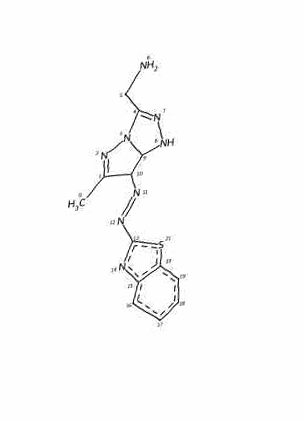 CC1=NN2C(CN)=NNC2C1N=Nc1nc2ccccc2s1